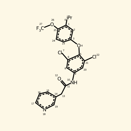 CC(C)c1cc(Oc2c(Cl)cc(NC(=O)Cc3cccnc3)cc2Cl)ccc1OC(F)(F)F